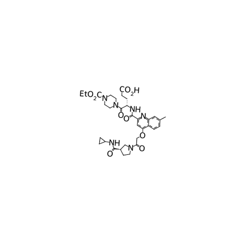 CCOC(=O)N1CCN(C(=O)[C@H](CCC(=O)O)NC(=O)c2cc(OCC(=O)N3CC[C@@H](C(=O)NC4CC4)C3)c3ccc(C)cc3n2)CC1